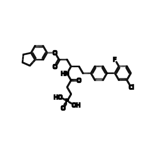 O=C(CCP(=O)(O)O)NC(CCc1ccc(-c2cc(Cl)ccc2F)cc1)CC(=O)Oc1ccc2c(c1)CCC2